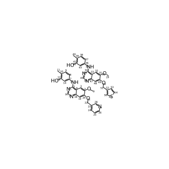 COc1cc2c(Nc3ccc(C)c(O)c3)ncnc2cc1OCc1cccnc1.COc1cc2c(Nc3ccc(C)c(O)c3)ncnc2cc1OCc1ccsc1